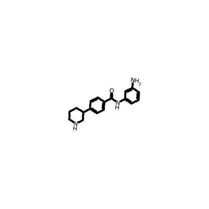 Nc1cccc(NC(=O)c2ccc(C3CCCNC3)cc2)c1